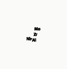 [Al].[Mo].[Nb].[Zr]